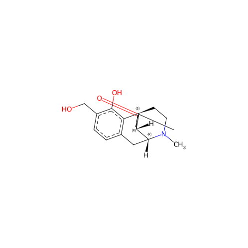 CN1CC[C@]23CC(=O)CC[C@H]2[C@H]1Cc1ccc(CO)c(O)c13